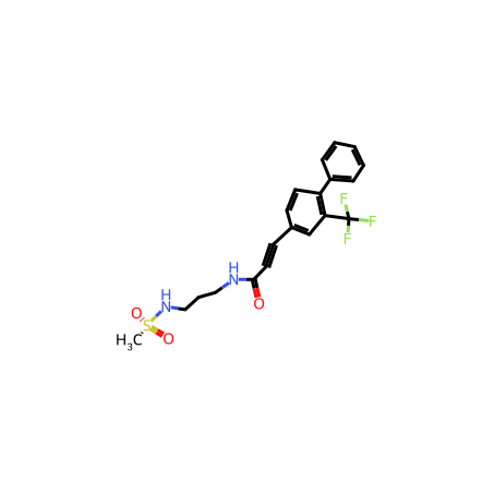 CS(=O)(=O)NCCCNC(=O)C#Cc1ccc(-c2ccccc2)c(C(F)(F)F)c1